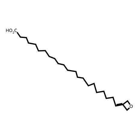 O=C(O)CCCCCCCCCCCCCCCCCCCCC=C1COC1